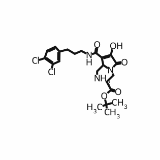 CC(C)(C)OC(=O)CCN1C(=O)C(O)=C(C(=O)NCCCc2ccc(Cl)c(Cl)c2)C1CN